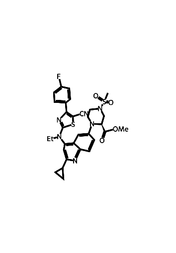 CCN(c1nc(-c2ccc(F)cc2)c(C#N)s1)c1cc(C2CC2)nc2ccc(N3CCN(S(C)(=O)=O)C[C@H]3C(=O)OC)cc12